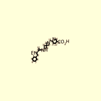 CCC(=Cc1ccccc1)C1CC1NC1CC2(C1)CN(Cc1ccc(C(=O)O)cn1)C2